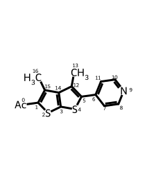 CC(=O)c1sc2sc(-c3ccncc3)c(C)c2c1C